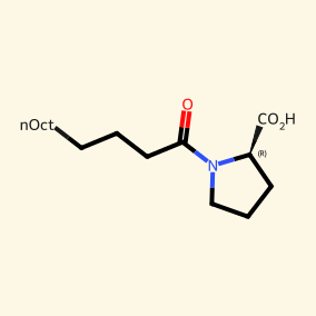 CCCCCCCCCCCC(=O)N1CCC[C@@H]1C(=O)O